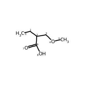 CCC(COC)C(=O)O